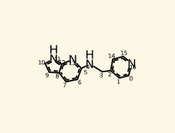 c1cc(CNc2ccc3cc[nH]c3n2)ccn1